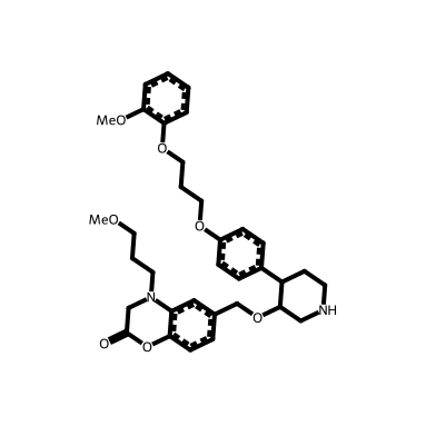 COCCCN1CC(=O)Oc2ccc(COC3CNCCC3c3ccc(OCCCOc4ccccc4OC)cc3)cc21